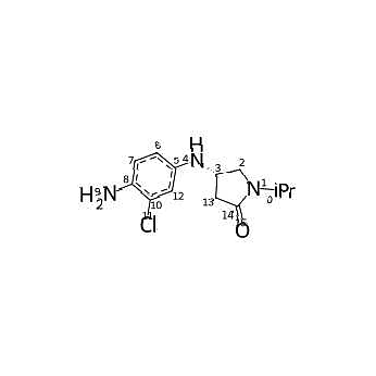 CC(C)N1C[C@@H](Nc2ccc(N)c(Cl)c2)CC1=O